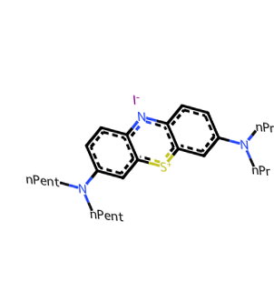 CCCCCN(CCCCC)c1ccc2nc3ccc(N(CCC)CCC)cc3[s+]c2c1.[I-]